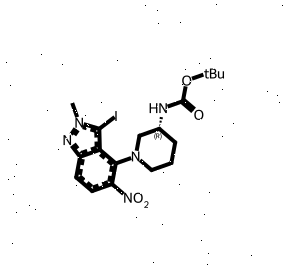 Cn1nc2ccc([N+](=O)[O-])c(N3CCC[C@@H](NC(=O)OC(C)(C)C)C3)c2c1I